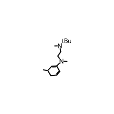 CC1C=C(N(C)CCN(C)C(C)(C)C)C=CC1